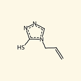 C=CCn1cnnc1S